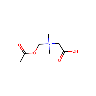 CC(=O)OC[N+](C)(C)CC(=O)O